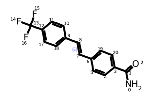 NC(=O)c1ccc(/C=C/c2ccc(C(F)(F)F)cc2)cc1